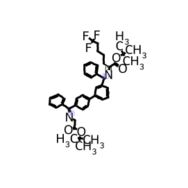 CC(C)(C)OC(=O)C/N=C(/c1ccccc1)c1ccc(-c2cccc(/C(=N/[C@@H](CCCCC(F)(F)F)C(=O)OC(C)(C)C)c3ccccc3)c2)cc1